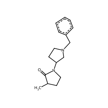 CC1CCN(C2CCN(Cc3ccccc3)C2)C1=O